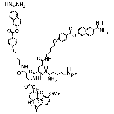 C=PNCCCC[C@H](N)C(=O)NC(CCC(=O)NCCCCOc1ccc(C(=O)Oc2ccc3cc(C(=N)N)ccc3c2)cc1)C(=O)NC(CCC(=O)NCCCCOc1ccc(C(=O)Oc2ccc3cc(C(=N)N)ccc3c2)cc1)C(=O)OC1=CC[C@H]2[C@@H](C)N(C)C3C[C@@]24c2c3ccc(OC)c2O[C@@H]14